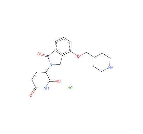 Cl.O=C1CCC(N2Cc3c(OCC4CCNCC4)cccc3C2=O)C(=O)N1